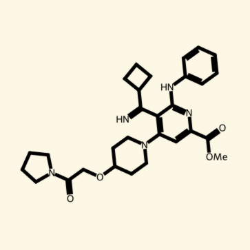 COC(=O)c1cc(N2CCC(OCC(=O)N3CCCC3)CC2)c(C(=N)C2CCC2)c(Nc2ccccc2)n1